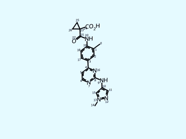 Cc1cc(-c2ccnc(Nc3cnn(C)c3)n2)ccc1NC(=O)C1(C(=O)O)CC1